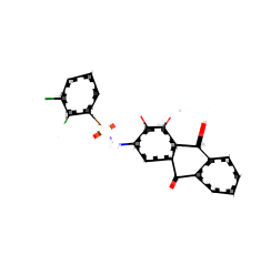 O=C1c2ccccc2C(=O)c2c1cc(NS(=O)(=O)c1cccc(F)c1F)c(O)c2O